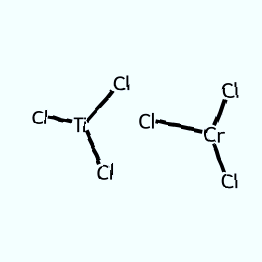 [Cl][Cr]([Cl])[Cl].[Cl][Ti]([Cl])[Cl]